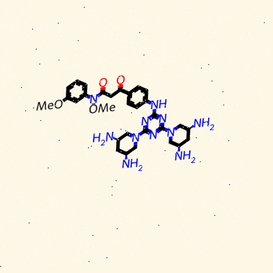 COc1cccc(N(OC)C(=O)CC(=O)c2ccc(Nc3nc(N4C[C@H](N)C[C@H](N)C4)nc(N4C[C@H](N)C[C@H](N)C4)n3)cc2)c1